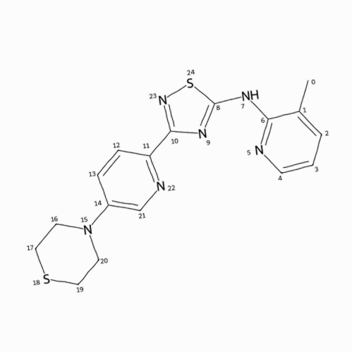 Cc1cccnc1Nc1nc(-c2ccc(N3CCSCC3)cn2)ns1